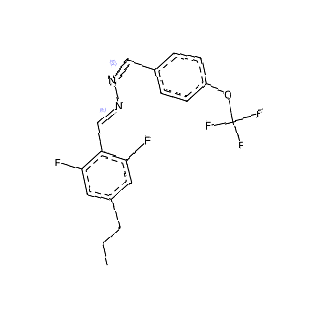 CCCc1cc(F)c(/C=N/N=C\c2ccc(OC(F)(F)F)cc2)c(F)c1